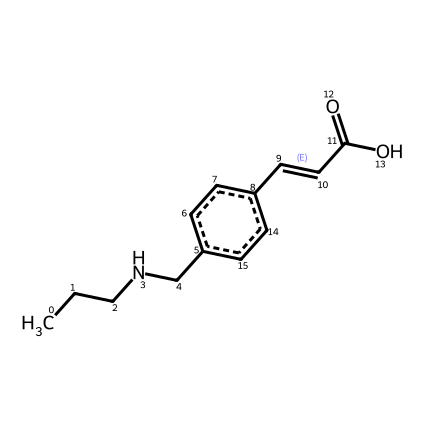 CCCNCc1ccc(/C=C/C(=O)O)cc1